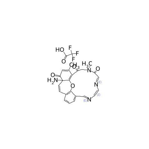 CC1=CC(=O)C2(N)C=Cc3cccc4c3OC2=C1C(=O)CN(C)C(=O)/C=N/C=C\N=C\4.O=C(O)C(F)(F)F